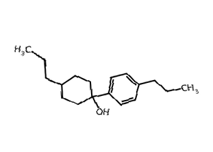 CCCc1ccc(C2(O)CCC(CCC)CC2)cc1